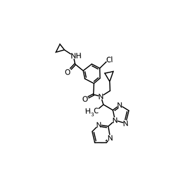 CC(c1ncnn1-c1ncccn1)N(CC1CC1)C(=O)c1cc(Cl)cc(C(=O)NC2CC2)c1